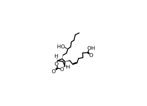 CCCCC[C@H](O)CC[C@@H]1[C@@H](C/C=C\CCCC(=O)O)[C@@H]2C[C@H]1OC(=O)O2